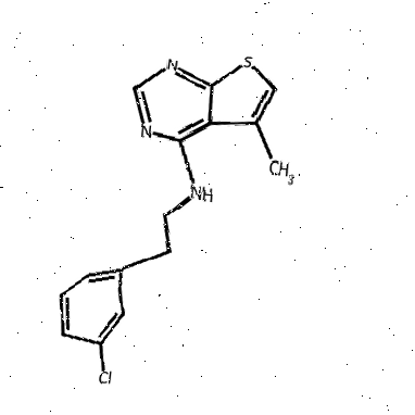 Cc1csc2ncnc(NCCc3cccc(Cl)c3)c12